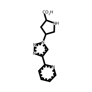 O=C(O)C1CC(n2cc(-c3ccccn3)nn2)CN1